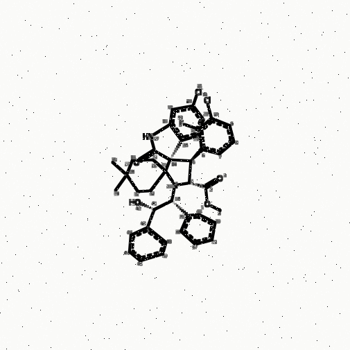 COC(=O)[C@H]1[C@H](c2cccc(Cl)c2F)[C@]2(C(=O)Nc3cc(Cl)ccc32)C2(CCC(C)(C)CC2)N1[C@H](c1ccccc1)[C@@H](O)c1ccccc1